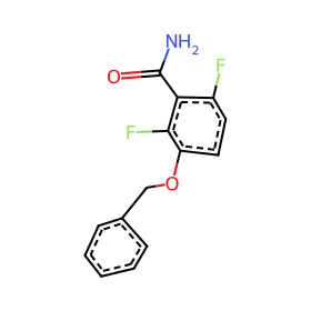 NC(=O)c1c(F)ccc(OCc2ccccc2)c1F